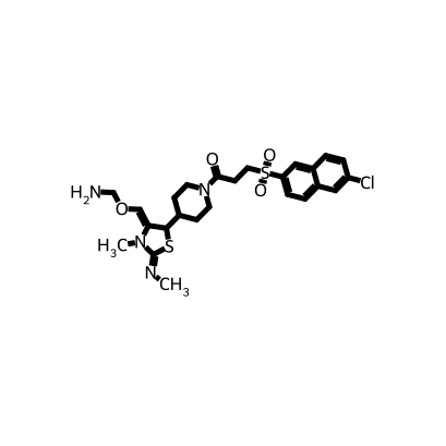 C/N=C1\SC(C2CCN(C(=O)CCS(=O)(=O)c3ccc4cc(Cl)ccc4c3)CC2)/C(=C/OCN)N1C